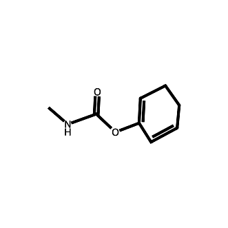 CNC(=O)OC1=CCCC=C1